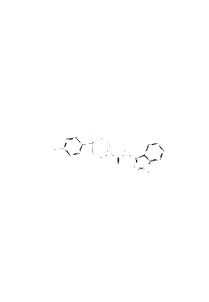 Cc1cc(C2(O)CCN(C(=O)Nc3n[nH]c4ccccc34)CC2)ccc1Cl